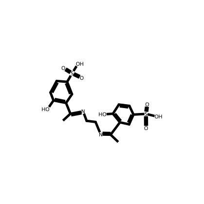 CC(=NCCN=C(C)c1cc(S(=O)(=O)O)ccc1O)c1cc(S(=O)(=O)O)ccc1O